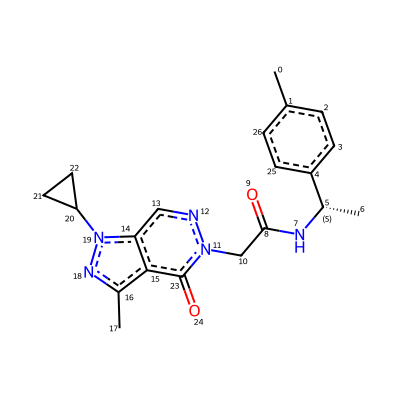 Cc1ccc([C@H](C)NC(=O)Cn2ncc3c(c(C)nn3C3CC3)c2=O)cc1